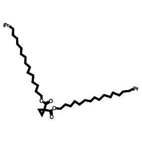 CC(C)CCCCCCCCCCCCCCCOC(=O)C1(C(=O)OCCCCCCCCCCCCCCCC(C)C)CC1